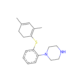 CC1=CC(C)=C(Sc2ccccc2N2CCNCC2)CC1